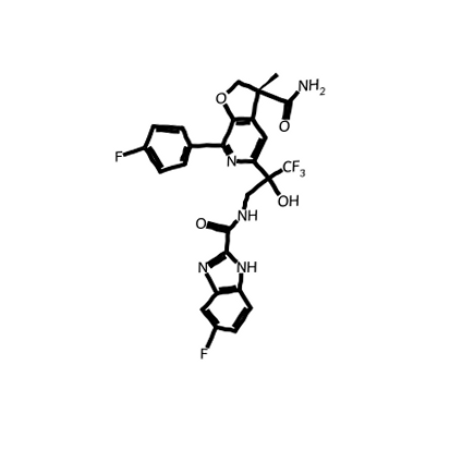 C[C@]1(C(N)=O)COc2c1cc(C(O)(CNC(=O)c1nc3cc(F)ccc3[nH]1)C(F)(F)F)nc2-c1ccc(F)cc1